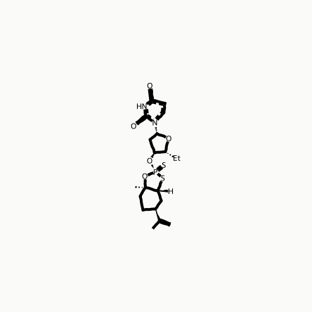 C=C(C)[C@H]1CC[C@@]2(C)O[P@](=S)(O[C@H]3C[C@H](n4ccc(=O)[nH]c4=O)O[C@@H]3CC)S[C@@H]2C1